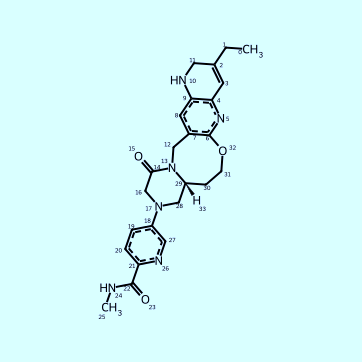 CCC1=Cc2nc3c(cc2NC1)CN1C(=O)CN(c2ccc(C(=O)NC)nc2)C[C@H]1CCO3